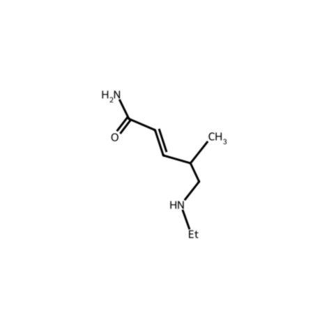 CCNCC(C)C=CC(N)=O